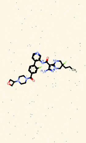 CCCC1(F)CNc2c(C(=O)Nc3cnccc3-c3ccc(C(=O)N4CCN(C5COC5)CC4)cc3F)c(N)nn2C1